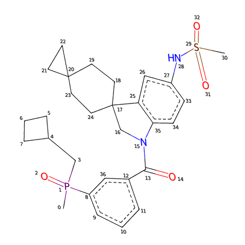 CP(=O)(CC1CCC1)c1cccc(C(=O)N2CC3(CCC4(CC4)CC3)c3cc(NS(C)(=O)=O)ccc32)c1